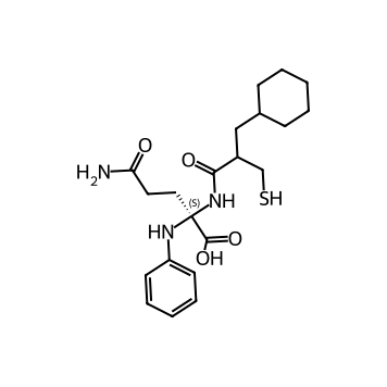 NC(=O)CC[C@@](NC(=O)C(CS)CC1CCCCC1)(Nc1ccccc1)C(=O)O